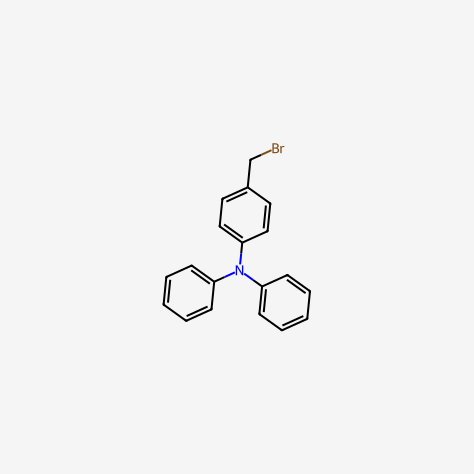 BrCc1ccc(N(c2ccccc2)c2ccccc2)cc1